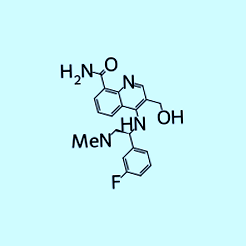 CNC[C@@H](Nc1c(CO)cnc2c(C(N)=O)cccc12)c1cccc(F)c1